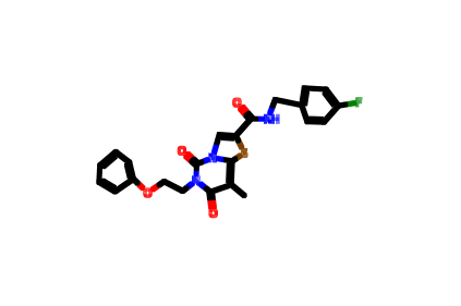 Cc1c(=O)n(CCOc2ccccc2)c(=O)n2cc(C(=O)NCc3ccc(F)cc3)sc12